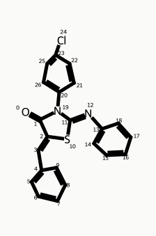 O=C1C(=Cc2ccccc2)SC(=Nc2ccccc2)N1c1ccc(Cl)cc1